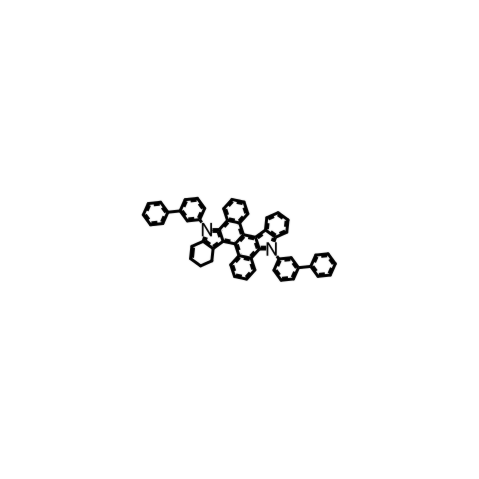 C1=Cc2c(c3c4c5ccccc5c5c(c6ccccc6n5-c5cccc(-c6ccccc6)c5)c4c4ccccc4c3n2-c2cccc(-c3ccccc3)c2)CC1